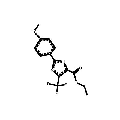 CCOC(=O)c1nc(-c2ccc(OC)cc2)oc1C(F)(F)F